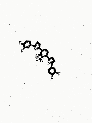 Fc1ccc(-c2ccc(-c3ccc(-c4ccc(-c5ccc(F)c(F)c5)s4)c4nsnc34)s2)cc1F